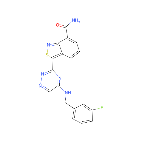 NC(=O)c1cccc2c(-c3nncc(NCc4cccc(F)c4)n3)snc12